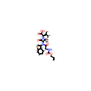 C=CCOC(=O)NCC(=O)N(c1csc2ccccc12)C1C(=O)N2C(C(=O)O)=C(C)CS[C@@H]12